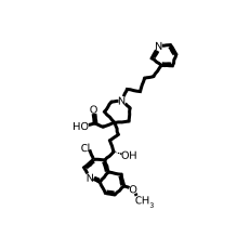 COc1ccc2ncc(Cl)c([C@@H](O)CCC3(CC(=O)O)CCN(CCCCc4cccnc4)CC3)c2c1